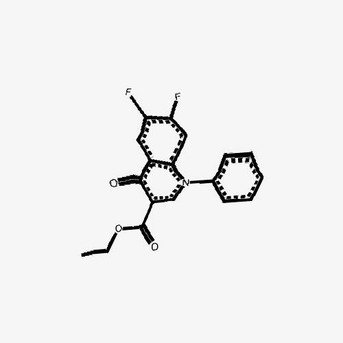 CCOC(=O)c1cn(-c2ccccc2)c2cc(F)c(F)cc2c1=O